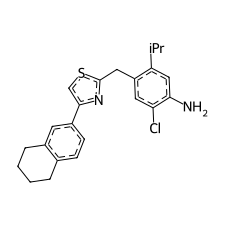 CC(C)c1cc(N)c(Cl)cc1Cc1nc(-c2ccc3c(c2)CCCC3)cs1